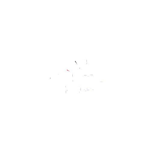 CC(C)(C)[Si](C)(C)O[C@H](c1ccccc1)[C@](C)(C(=O)O)c1cncc(Br)c1